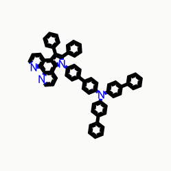 c1ccc(-c2ccc(N(c3ccc(-c4ccccc4)cc3)c3ccc(-c4ccc(-n5c(-c6ccccc6)c(-c6ccccc6)c6c7cccnc7c7ncccc7c65)cc4)cc3)cc2)cc1